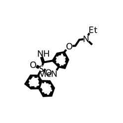 CCN(C)CCOc1ccc(NC)c(C(=N)S(=O)(=O)c2cccc3ccccc23)c1